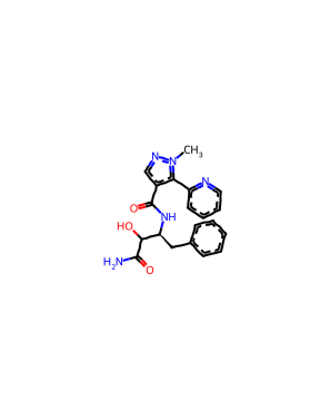 Cn1ncc(C(=O)N[C@@H](Cc2ccccc2)C(O)C(N)=O)c1-c1ccccn1